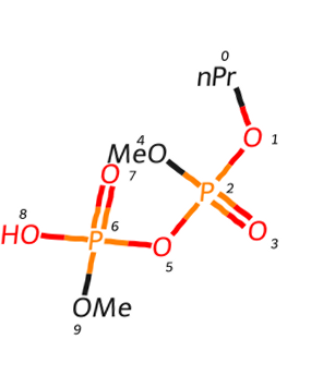 CCCOP(=O)(OC)OP(=O)(O)OC